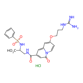 Cl.N=C(N)NCCCOc1ccn2c(=O)cc(C(=O)NCC(NS(=O)(=O)c3ccccc3)C(=O)O)cc2c1